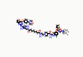 CN(C)CCN(c1cc(F)c2nc(NC(=O)C3CCN(CCNC(=O)CCCCCCC(=O)NCc4cc(Nc5nc(OC6CCC(N7CCOCC7)CC6)c6occc6n5)sn4)CC3)sc2c1)S(=O)(=O)c1cccs1